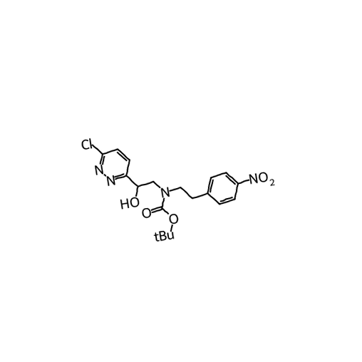 CC(C)(C)OC(=O)N(CCc1ccc([N+](=O)[O-])cc1)CC(O)c1ccc(Cl)nn1